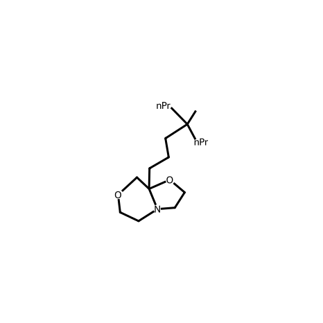 CCCC(C)(CCC)CCCC12COCCN1CCO2